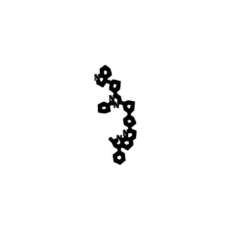 Cc1cc(-c2ccccc2)c2ccc3ccc(-c4ccc(-c5cccc(-c6cc(-c7cccc(-c8ccnc9ccccc89)c7)nc(-c7ccccc7)n6)c5)cc4)nc3c2n1